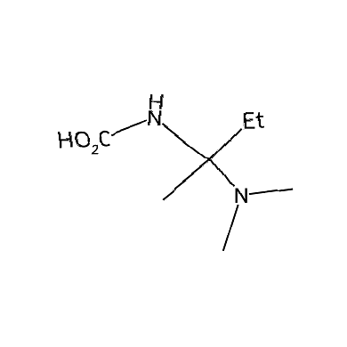 [CH2]CC(C)(NC(=O)O)N(C)C